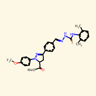 COC(=O)C1CC(c2ccc(/C=N/NC(=S)Nc3c(C)cccc3C)cc2)=NN1c1ccc(OC(F)(F)F)cc1